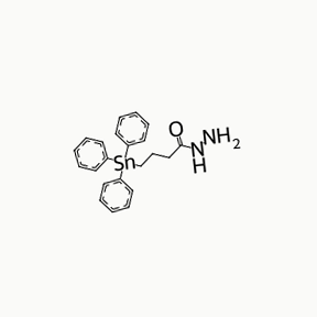 NNC(=O)CC[CH2][Sn]([c]1ccccc1)([c]1ccccc1)[c]1ccccc1